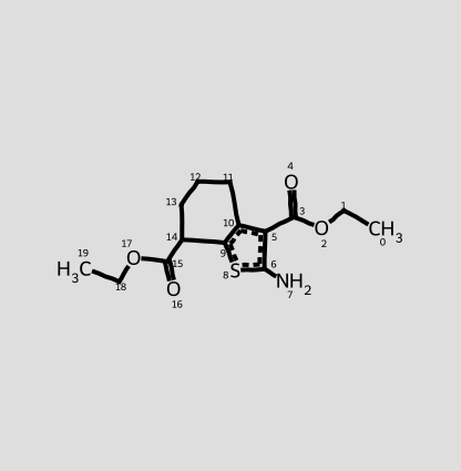 CCOC(=O)c1c(N)sc2c1CCCC2C(=O)OCC